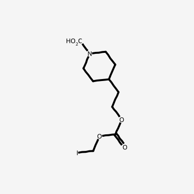 O=C(OCI)OCCC1CCN(C(=O)O)CC1